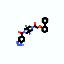 O=C(COc1ccccc1-c1ccccc1)N1C[C@H]2CN(C(=O)c3ccc4[nH]nnc4c3)C[C@@H]2C1